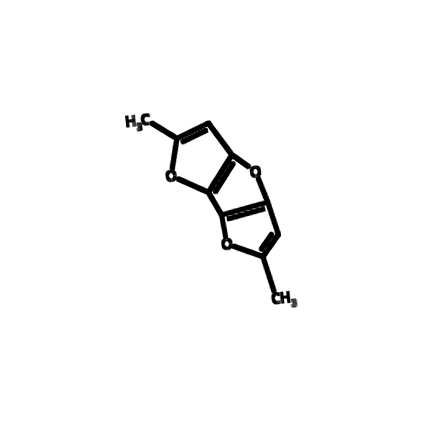 Cc1cc2oc3cc(C)oc3c2o1